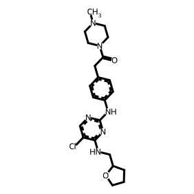 CN1CCN(C(=O)Cc2ccc(Nc3ncc(Cl)c(NCC4CCCO4)n3)cc2)CC1